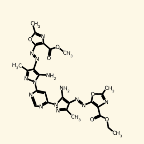 CCOC(=O)c1nc(C)oc1/N=N/c1c(C)nn(-c2cc(-n3nc(C)c(/N=N/c4oc(C)nc4C(=O)OC)c3N)ncn2)c1N